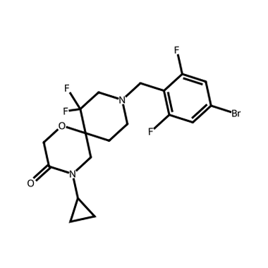 O=C1COC2(CCN(Cc3c(F)cc(Br)cc3F)CC2(F)F)CN1C1CC1